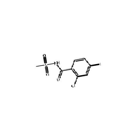 CS(=O)(=O)NC(=O)c1ccc(I)cc1Cl